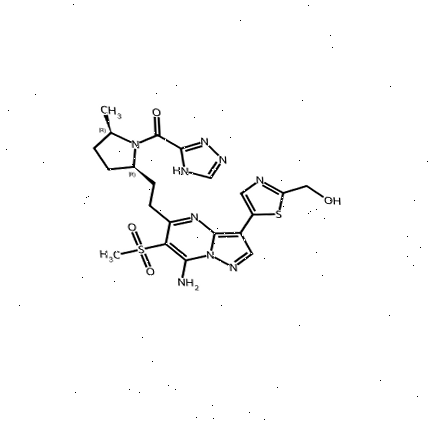 C[C@@H]1CC[C@H](CCc2nc3c(-c4cnc(CO)s4)cnn3c(N)c2S(C)(=O)=O)N1C(=O)c1nnc[nH]1